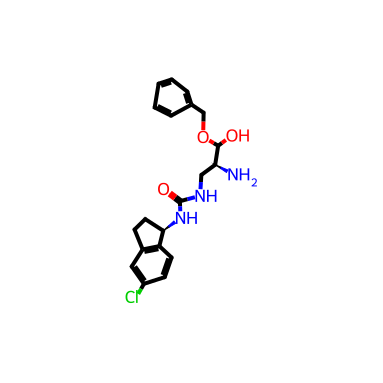 N[C@@H](CNC(=O)N[C@@H]1CCc2cc(Cl)ccc21)C(O)OCc1ccccc1